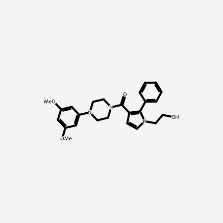 COc1cc(OC)cc(N2CCN(C(=O)c3ccn(CCO)c3-c3ccccc3)CC2)c1